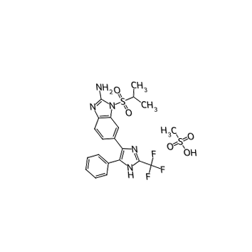 CC(C)S(=O)(=O)n1c(N)nc2ccc(-c3nc(C(F)(F)F)[nH]c3-c3ccccc3)cc21.CS(=O)(=O)O